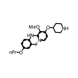 CCCOc1ccc(Nc2nccc(OC3CCNCC3)c2OC)c(F)c1